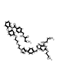 C=CC(=O)NCc1ccc(C(=O)Nc2ccccc2Oc2ccc(OCCOCCn3cc(-c4ccc(Cn5nnc6c(NCCN)nc(SCCC)nc65)cc4)nn3)cc2)cc1